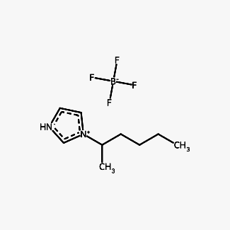 CCCCC(C)[n+]1cc[nH]c1.F[B-](F)(F)F